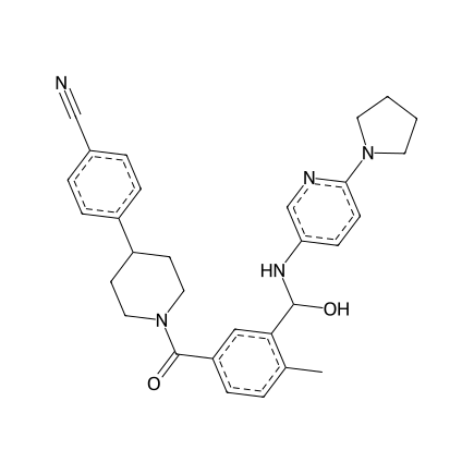 Cc1ccc(C(=O)N2CCC(c3ccc(C#N)cc3)CC2)cc1C(O)Nc1ccc(N2CCCC2)nc1